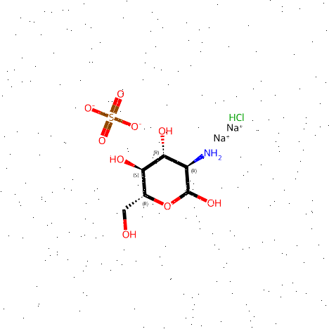 Cl.N[C@H]1C(O)O[C@H](CO)[C@@H](O)[C@@H]1O.O=S(=O)([O-])[O-].[Na+].[Na+]